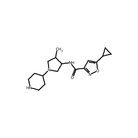 CC1CN(C2CCNCC2)CC1NC(=O)c1cc(C2CC2)on1